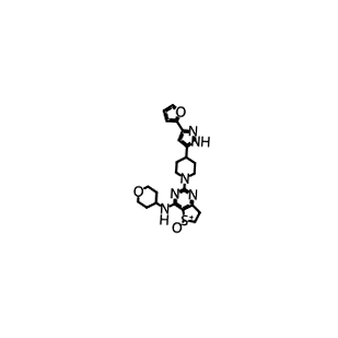 [O-][S+]1CCc2nc(N3CCC(c4cc(-c5ccco5)n[nH]4)CC3)nc(NC3CCOCC3)c21